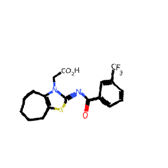 O=C(O)Cn1c2c(sc1=NC(=O)c1cccc(C(F)(F)F)c1)CCCCC2